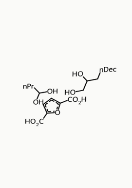 CCCC(O)O.CCCCCCCCCCCC(O)CO.O=C(O)c1ccc(C(=O)O)o1